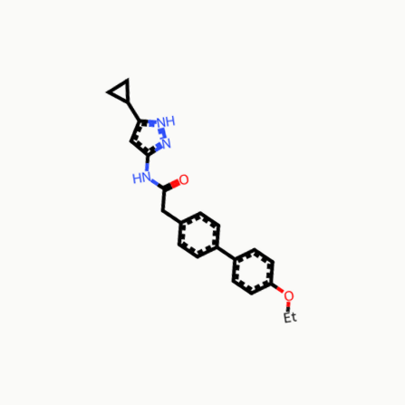 CCOc1ccc(-c2ccc(CC(=O)Nc3cc(C4CC4)[nH]n3)cc2)cc1